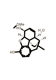 CN1CC[C@]23c4c5ccc(O)c4O[C@H]2[C@@H](O)C=C[C@H]3[C@H]1C5.COC.O